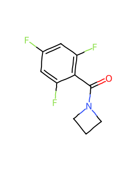 O=C(c1c(F)cc(F)cc1F)N1CCC1